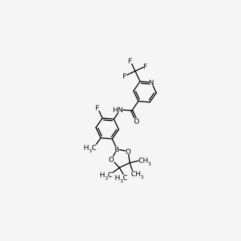 Cc1cc(F)c(NC(=O)c2ccnc(C(F)(F)F)c2)cc1B1OC(C)(C)C(C)(C)O1